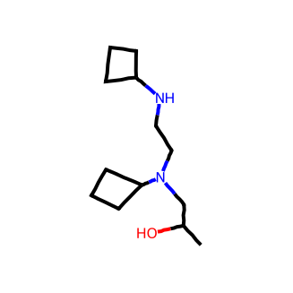 CC(O)CN(CCNC1CCC1)C1CCC1